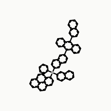 c1ccc([Si](c2ccc3ccccc3c2)(c2ccc3cc(-c4c5ccccc5c(-c5ccc6ccccc6c5)c5ccccc45)ccc3c2)c2ccc3ccc4cccc5ccc2c3c45)cc1